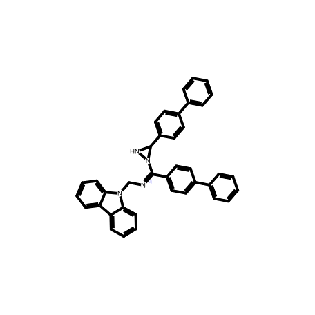 c1ccc(-c2ccc(/C(=N/Cn3c4ccccc4c4ccccc43)N3NC3c3ccc(-c4ccccc4)cc3)cc2)cc1